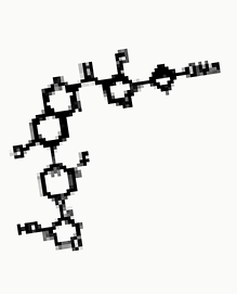 COC12CC(n3ncc(Nc4ncc5cc(Cl)c([C@@H]6CCN([C@H]7COC[C@H]7O)C[C@H]6F)cc5n4)c3Cl)(C1)C2